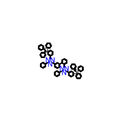 c1ccc(-c2nc(-c3cccc(-c4ccccc4-c4nc(-c5ccccc5)nc(-c5cccc([Si](c6ccccc6)(c6ccccc6)c6ccccc6)c5)n4)c3)nc(-c3cccc([Si](c4ccccc4)(c4ccccc4)c4ccccc4)c3)n2)cc1